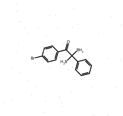 BC(B)(C(=O)c1ccc(Br)cc1)c1ccccc1